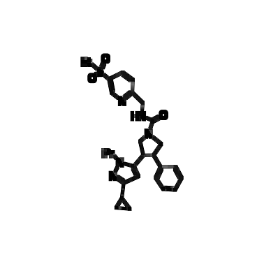 CCS(=O)(=O)c1ccc(CNC(=O)N2CC(c3ccccc3)C(c3cc(C4CC4)nn3C(C)C)C2)nc1